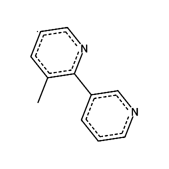 Cc1c[c]cnc1-c1cccnc1